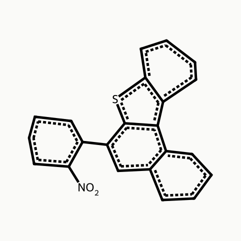 O=[N+]([O-])c1ccccc1-c1cc2ccccc2c2c1sc1ccccc12